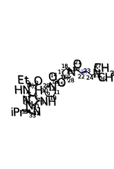 CC[C@H](CO)Nc1cc(NC2CCN(C(=O)O[C@H]3CCN(C(=O)/C=C/CN(C)C)C3)CC2)c2ncc(C(C)C)n2n1